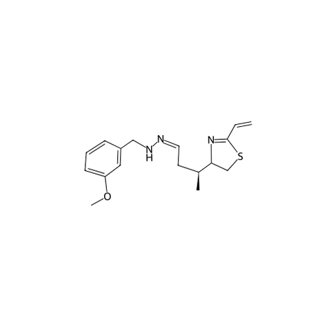 C=CC1=NC([C@@H](C)C/C=N\NCc2cccc(OC)c2)CS1